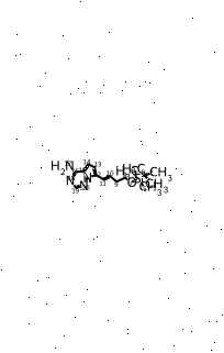 CC(C)(C)[Si](C)(C)OCC/C=C/c1ccc2c(N)ncnn12